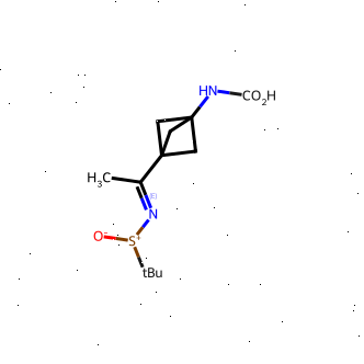 C/C(=N\[S+]([O-])C(C)(C)C)C12CC(NC(=O)O)(C1)C2